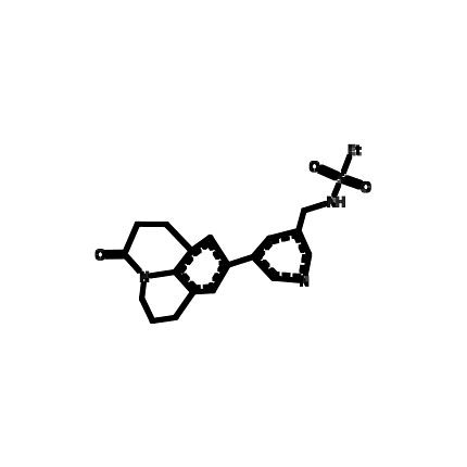 CCS(=O)(=O)NCc1cncc(-c2cc3c4c(c2)CCC(=O)N4CCC3)c1